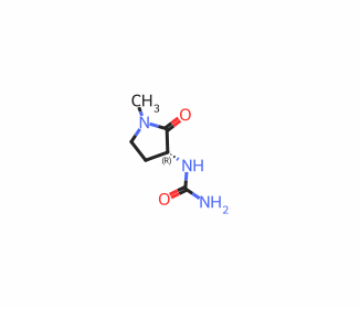 CN1CC[C@@H](NC(N)=O)C1=O